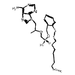 CCCCCCCCCCCCCCCCSSc1ccccc1COP(=O)(O)COC(C)Cn1cnc2c(N)ncnc21